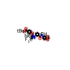 CN(C(=O)c1cccc(-n2nc(C(F)(F)F)c(C#N)c2Oc2ccc(C(=O)OC(C)(C)C)cc2)c1)c1ccc2c(c1)OCO2